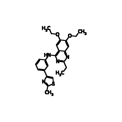 CCOc1cc2nc(CC)nc(Nc3cccc(-c4csc(C)n4)c3)c2cc1OCC